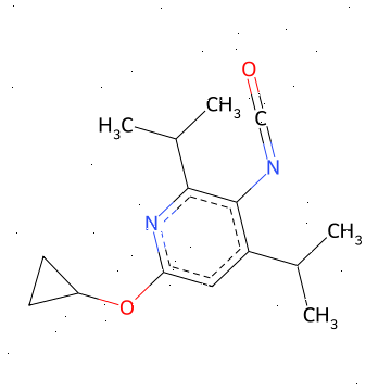 CC(C)c1cc(OC2CC2)nc(C(C)C)c1N=C=O